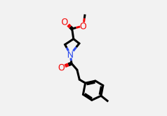 COC(=O)C1CN(C(=O)CCc2ccc(C)cc2)C1